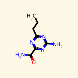 CCCc1nc(N)nc(C(N)=O)n1